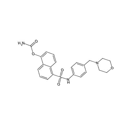 NC(=O)Oc1cccc2c(S(=O)(=O)Nc3ccc(CN4CCOCC4)cc3)cccc12